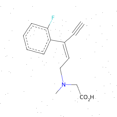 C#C/C(=C/CN(C)CC(=O)O)c1ccccc1F